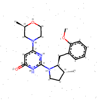 COc1ccccc1C[C@H]1[C@H](C)CCN1c1nc(N2CCO[C@H](C)C2)cc(=O)[nH]1